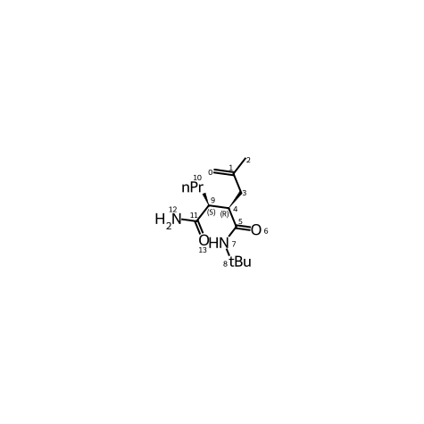 C=C(C)C[C@@H](C(=O)NC(C)(C)C)[C@H](CCC)C(N)=O